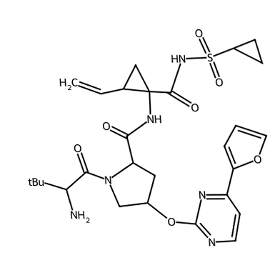 C=CC1CC1(NC(=O)C1CC(Oc2nccc(-c3ccco3)n2)CN1C(=O)C(N)C(C)(C)C)C(=O)NS(=O)(=O)C1CC1